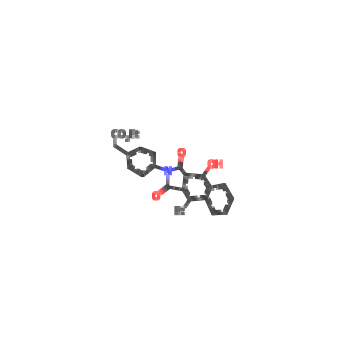 CCOC(=O)Cc1ccc(N2C(=O)c3c(c(CC)c4ccccc4c3O)C2=O)cc1